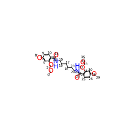 COCOc1cc(OC)ccc1C(=O)NCCCCCCNC(=O)c1ccc(OC)cc1OCOC